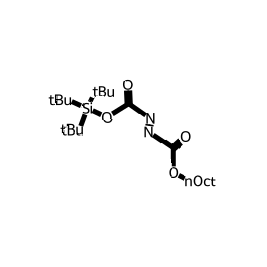 CCCCCCCCOC(=O)N=NC(=O)O[Si](C(C)(C)C)(C(C)(C)C)C(C)(C)C